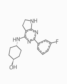 O[C@H]1CC[C@H](Nc2nc(-c3cccc(F)c3)nc3c2CCN3)CC1